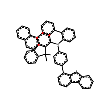 CC1(C)c2ccccc2-c2cccc(N(c3ccc(-c4cccc5c4sc4ccccc45)cc3)c3ccccc3-c3cccc(-c4cccc5ccccc45)c3)c21